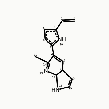 C=Cc1ccc(C2=CC3C=CNC3N=C2C)[nH]1